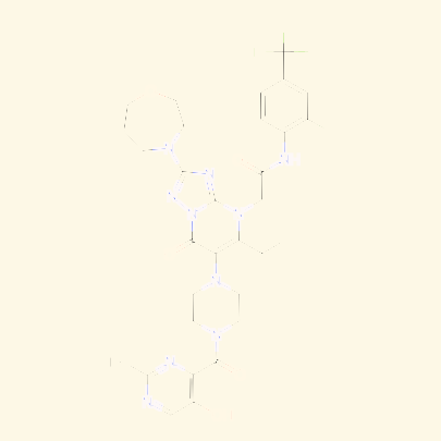 CCc1c(N2CCN(C(=O)c3nc(C)ncc3O)CC2)c(=O)n2nc(N3CCCOCC3)nc2n1CC(=O)Nc1ccc(C(F)(F)F)cc1Cl